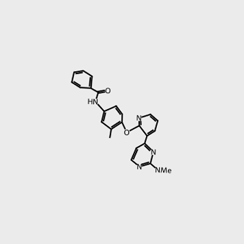 CNc1nccc(-c2cccnc2Oc2ccc(NC(=O)c3ccccc3)cc2C)n1